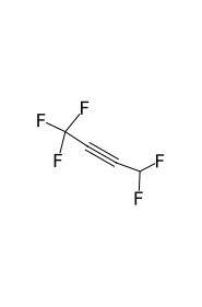 FC(F)C#CC(F)(F)F